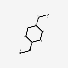 BrC[C@H]1CC[C@H](CBr)CC1